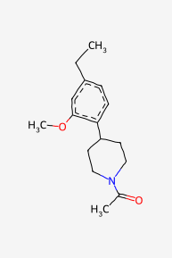 CCc1ccc(C2CCN(C(C)=O)CC2)c(OC)c1